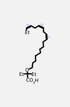 CC/C=C\C/C=C\C/C=C\CCCCCCCCOC(CC)(CC)C(=O)O